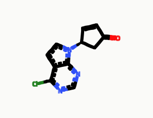 O=C1C=C[C@H](n2ccc3c(Cl)ncnc32)C1